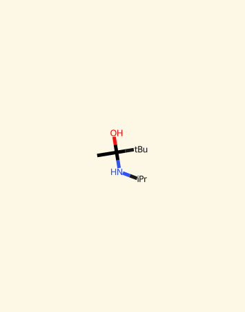 CC(C)NC(C)(O)C(C)(C)C